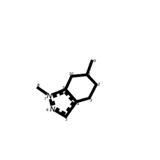 CC1CCc2cnn(C)c2C1